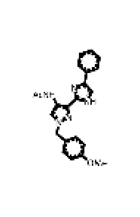 COc1ccc(Cn2cc(NC(C)=O)c(-c3nc(-c4ccccc4)c[nH]3)n2)cc1